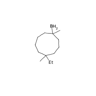 BC1(C)CCCCC(C)(CC)CCC1